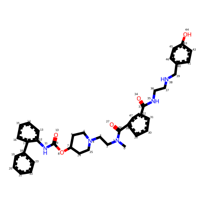 CN(CCN1CCC(OC(=O)Nc2ccccc2-c2ccccc2)CC1)C(=O)c1cccc(C(=O)NCCNCc2ccc(O)cc2)c1